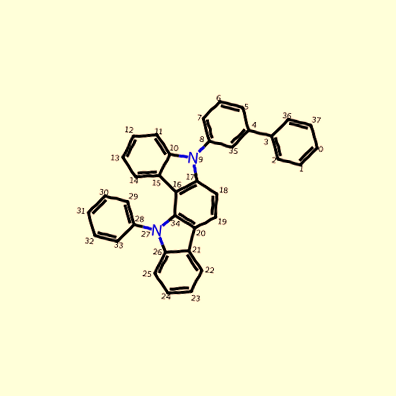 c1ccc(-c2cccc(-n3c4ccccc4c4c3ccc3c5ccccc5n(-c5ccccc5)c34)c2)cc1